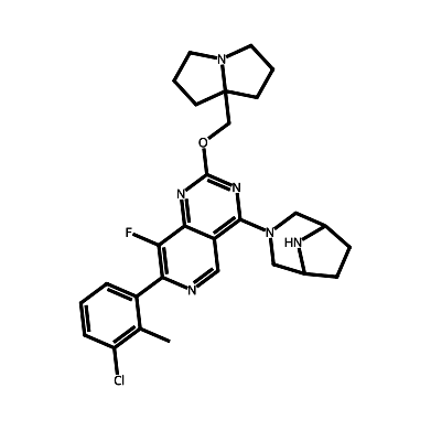 Cc1c(Cl)cccc1-c1ncc2c(N3CC4CCC(C3)N4)nc(OCC34CCCN3CCC4)nc2c1F